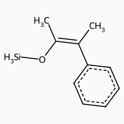 CC(O[SiH3])=C(C)c1ccccc1